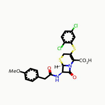 COc1ccc(CC(=O)N[C@@H]2C(=O)N3C(C(=O)O)=C(Sc4cc(Cl)ccc4Cl)CS[C@H]23)cc1